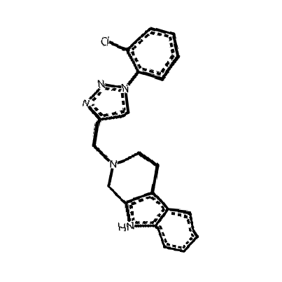 Clc1ccccc1-n1cc(CN2CCc3c([nH]c4ccccc34)C2)nn1